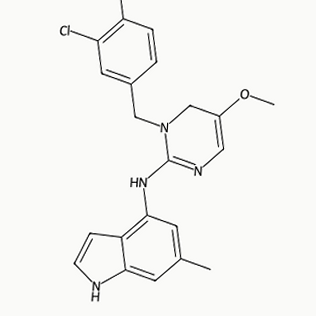 COC1=CN=C(Nc2cc(C)cc3[nH]ccc23)N(Cc2ccc(F)c(Cl)c2)C1